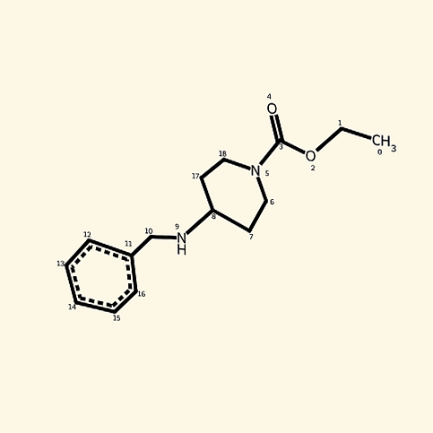 CCOC(=O)N1CCC(NCc2ccccc2)CC1